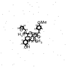 COc1ccc(CNC(=O)N2[C@@H](C)N([C@@H](Cc3ccc(O)cc3)C(=O)N(C)Cc3ccco3)C(=O)CN2C)cc1